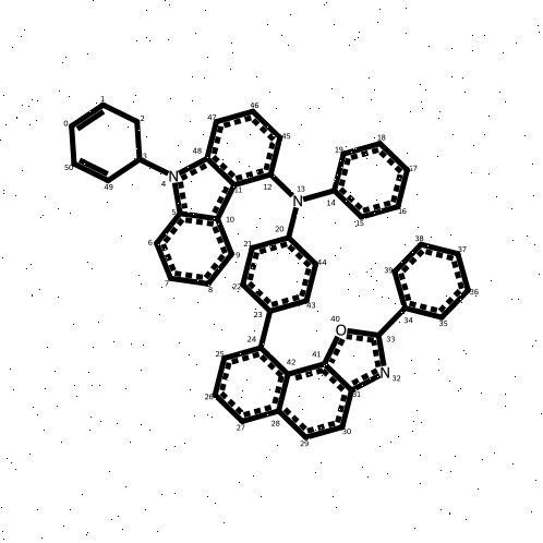 C1=CCC(n2c3ccccc3c3c(N(c4ccccc4)c4ccc(-c5cccc6ccc7nc(-c8ccccc8)oc7c56)cc4)cccc32)C=C1